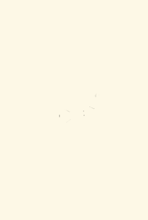 CC(C)OC(=O)C(=O)Cc1ccc(O)cc1